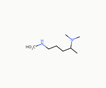 CC(CCCNC(=O)O)N(C)C